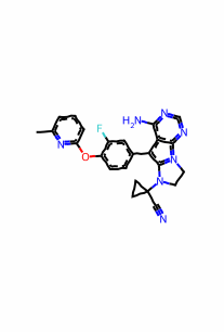 Cc1cccc(Oc2ccc(-c3c4n(c5ncnc(N)c35)CCN4C3(C#N)CC3)cc2F)n1